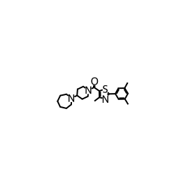 Cc1cc(C)cc(-c2nc(C)c(C(=O)N3CCC(N4CCCCCC4)CC3)s2)c1